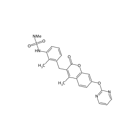 CNS(=O)(=O)Nc1cccc(Cc2c(C)c3ccc(Oc4ncccn4)cc3oc2=O)c1C